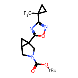 CC(C)(C)OC(=O)N1CC2CC2(c2nc(C3(C(F)(F)F)CC3)no2)C1